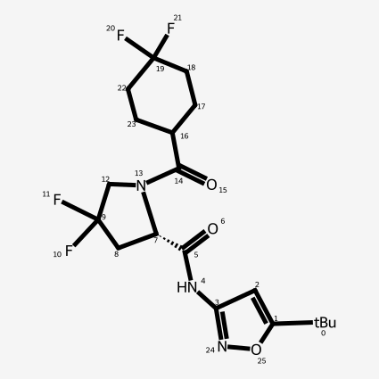 CC(C)(C)c1cc(NC(=O)[C@@H]2CC(F)(F)CN2C(=O)C2CCC(F)(F)CC2)no1